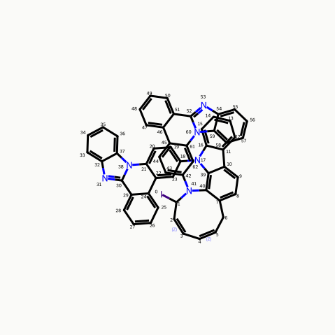 IC1/C=C\C=C/Cc2ccc3c4ccccc4n(-c4ccc5c(c4)c4ccccc4c4nc6ccccc6n54)c3c2N1c1ccc2c3ccccc3c3nc4ccccc4n3c2c1